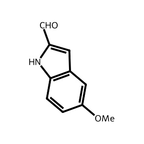 COc1ccc2[nH]c(C=O)cc2c1